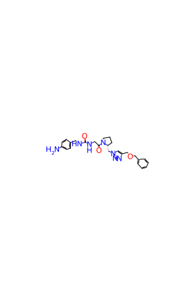 Nc1ccc(CNC(=O)NCC(=O)N2CCC[C@@H]2Cn2cc(COCc3ccccc3)nn2)cc1